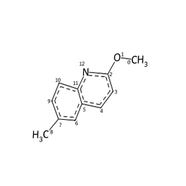 COc1ccc2cc(C)ccc2n1